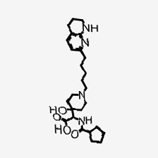 O=C(NC(C(=O)O)C1(O)CCN(CCCCCc2ccc3c(n2)NCCC3)CC1)C1CCCC1